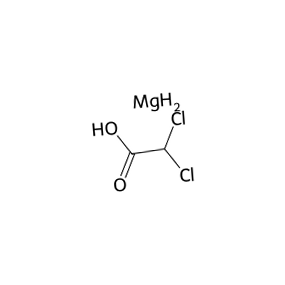 O=C(O)C(Cl)Cl.[MgH2]